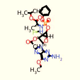 CCOc1nc(N)nc2c1ncn2[C@@H]1O[C@@H]2C(OP(=O)(N[C@@H](C)C(=O)OC(C)C)Oc3ccccc3)[C@]2(CF)[C@H]1OC(C)=O